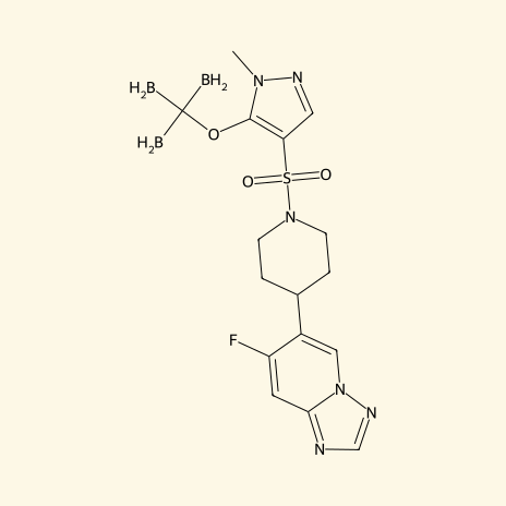 BC(B)(B)Oc1c(S(=O)(=O)N2CCC(c3cn4ncnc4cc3F)CC2)cnn1C